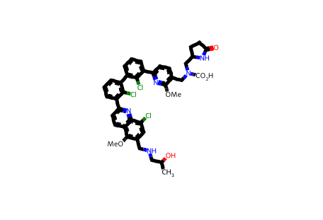 COc1nc(-c2cccc(-c3cccc(-c4ccc5c(OC)c(CNCC(C)O)cc(Cl)c5n4)c3Cl)c2Cl)ccc1CN(CC1CCC(=O)N1)C(=O)O